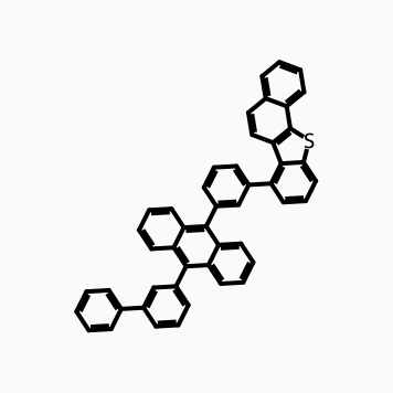 c1ccc(-c2cccc(-c3c4ccccc4c(-c4cccc(-c5cccc6sc7c8ccccc8ccc7c56)c4)c4ccccc34)c2)cc1